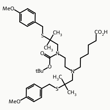 COc1ccc(CSC(C)(C)CN(CCCCCC(=O)O)CCN(CC(C)(C)SCc2ccc(OC)cc2)C(=O)OC(C)(C)C)cc1